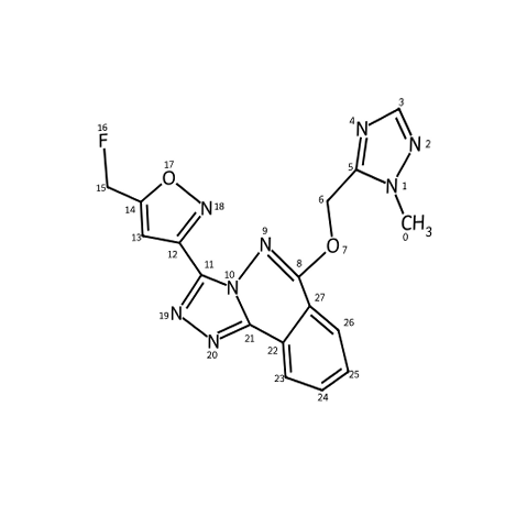 Cn1ncnc1COc1nn2c(-c3cc(CF)on3)nnc2c2ccccc12